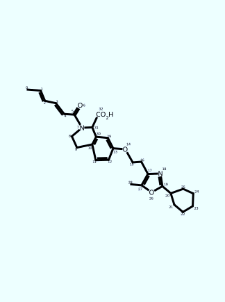 CC=CC=CC(=O)N1CCc2ccc(OCCc3nc(C4CCCCC4)oc3C)cc2C1C(=O)O